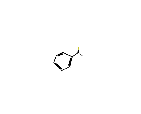 CCC[C@H](S)c1ccccc1